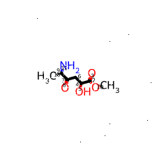 COC(=O)C(O)CC(=O)[C@@H](C)N